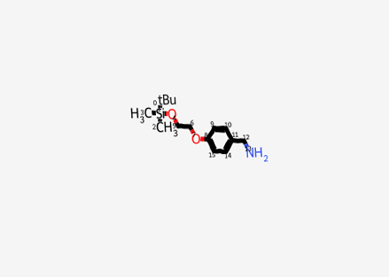 CC(C)(C)[Si](C)(C)OCCOc1ccc(CN)cc1